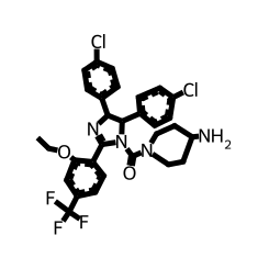 CCOc1cc(C(F)(F)F)ccc1C1=NC(c2ccc(Cl)cc2)C(c2ccc(Cl)cc2)N1C(=O)N1CCC(N)CC1